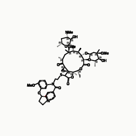 CN[C@H]1C[C@@H](C)O[C@@H](O[C@@H]2[C@@H](C)[C@H](O[C@H]3C[C@@](C)(OC)[C@@H](O)[C@H](C)O3)[C@@H](C)C(=O)O[C@H](I)[C@@]3(C)OC(=O)C(SCCN(C(=O)c4ccncc4)c4ccc(OC)c(OC5CCCC5)c4)[C@@H]3[C@@H](C)C(=O)[C@H](C)C[C@@]2(C)OC)[C@@H]1O